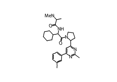 CNC(C)C(=O)NC(C(=O)N1CCCC1c1cc(-c2cccc(C)c2)nc(C)n1)C1CCCCC1